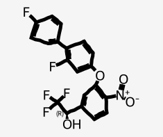 O=[N+]([O-])c1ccc([C@@H](O)C(F)(F)F)cc1Oc1ccc(-c2ccc(F)cc2)c(F)c1